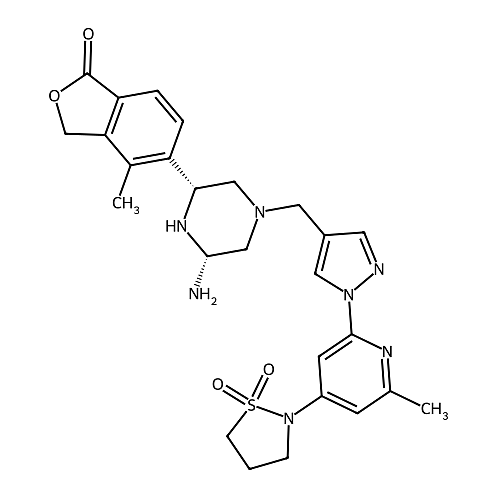 Cc1cc(N2CCCS2(=O)=O)cc(-n2cc(CN3C[C@@H](c4ccc5c(c4C)COC5=O)N[C@@H](N)C3)cn2)n1